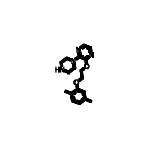 Cc1ccc(C)c(OCCOc2nccnc2N2CCNCC2)c1